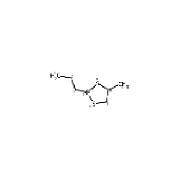 CCCP1SCC(C)S1